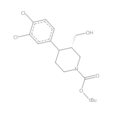 CC(C)(C)OC(=O)N1CCC(c2ccc(Cl)c(Cl)c2)[C@H](CO)C1